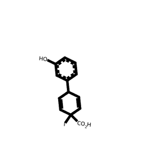 O=C(O)C1(I)C=CC(c2cccc(O)c2)C=C1